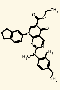 CCOC(=O)c1cn(-c2ccc3c(c2)CCC3)c2nc(N(C)c3ccc(CN)cc3C)ncc2c1=O